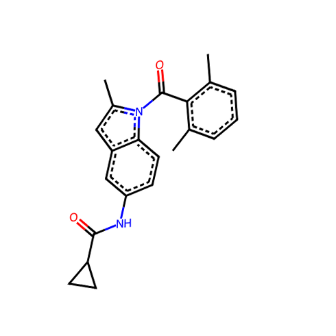 Cc1cccc(C)c1C(=O)n1c(C)cc2cc(NC(=O)C3CC3)ccc21